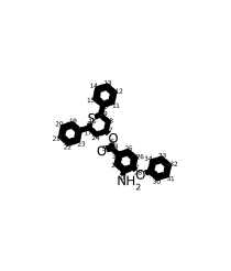 Nc1cc(C(=O)OC2CC(c3ccccc3)SC(c3ccccc3)C2)ccc1Oc1ccccc1